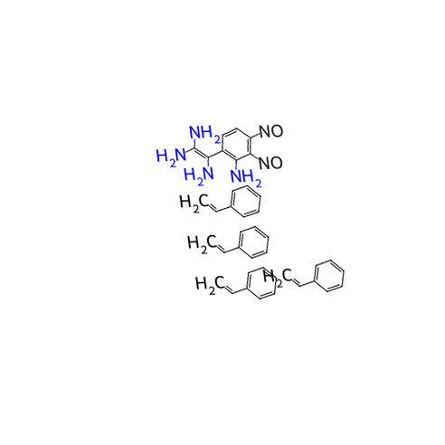 C=Cc1ccccc1.C=Cc1ccccc1.C=Cc1ccccc1.C=Cc1ccccc1.NC(N)=C(N)c1ccc(N=O)c(N=O)c1N